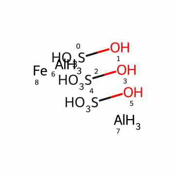 O=S(=O)(O)O.O=S(=O)(O)O.O=S(=O)(O)O.[AlH3].[AlH3].[Fe]